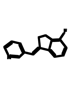 Fc1cccc2c1CCC2=Cc1cccnc1